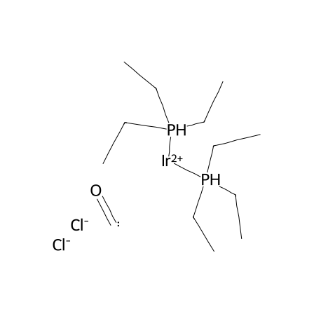 CC[PH](CC)(CC)[Ir+2][PH](CC)(CC)CC.[C]=O.[Cl-].[Cl-]